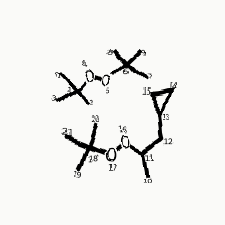 CC(C)(C)OOC(C)(C)C.CC(CC1CC1)OOC(C)(C)C